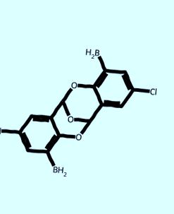 Bc1cc(Cl)cc2c1OC1OC2Oc2c(B)cc(Cl)cc21